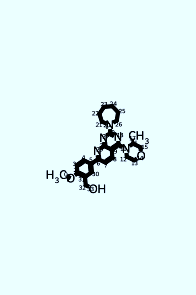 COc1ccc(-c2ccc3c(N4CCOC[C@@H]4C)nc(N4CCCCCC4)nc3n2)cc1CO